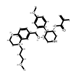 C=C(C)C(=O)O[C@@H]1CNC[C@H](OCc2ccc3c(c2)N(CCCOC)CCO3)[C@H]1c1ccc(OC)cc1